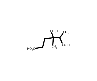 CC(C(=O)O)C(C)(CCC(=O)O)C(=O)O